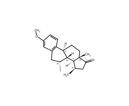 COc1ccc2c(c1)C[C@@H](I)[C@H]1[C@@H]3[C@H](C)CC(=O)[C@@]3(C)CC[C@H]21